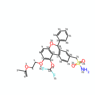 C=C(C)OCCOc1ccc2c(c1OC(F)F)-c1ccc(CS(N)(=O)=O)cc1C(c1ccccc1)O2